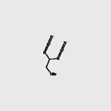 CCCCCC(N=[N+]=[N-])N=[N+]=[N-]